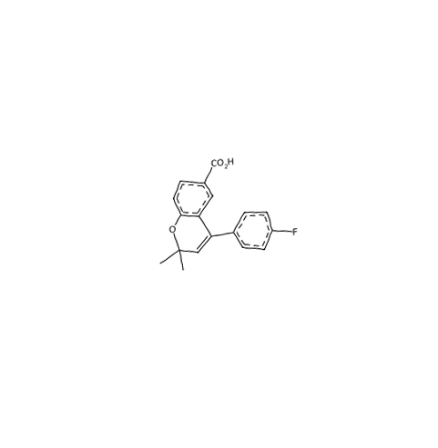 CC1(C)C=C(c2ccc(F)cc2)c2cc(C(=O)O)ccc2O1